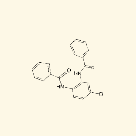 O=C(Nc1ccc(Cl)cc1NC(=O)c1ccccc1)c1ccccc1